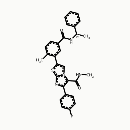 CNC(=O)c1c(-c2ccc(F)cc2)nc2sc(-c3cc(C(=O)N[C@H](C)c4ccccc4)ccc3C)cn12